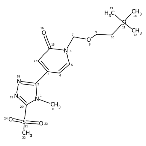 Cn1c(-c2ccn(COCC[Si](C)(C)C)c(=O)c2)nnc1S(C)(=O)=O